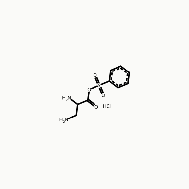 Cl.NCC(N)C(=O)OS(=O)(=O)c1ccccc1